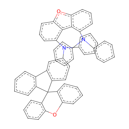 c1ccc(N(c2ccccc2)c2cccc3oc4cccc(N(c5ccccc5)c5ccc6c(c5)-c5ccccc5C65c6ccccc6Oc6ccccc65)c4c23)cc1